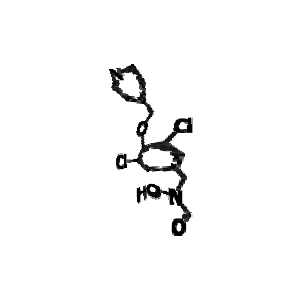 O=CN(O)Cc1cc(Cl)c(OCc2ccncc2)c(Cl)c1